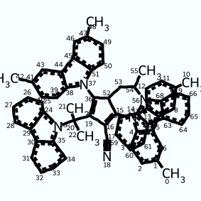 Cc1ccc2c(c1)c1cc(C)ccc1n2C1=C(C#N)C(C(C)(C)n2c3ccccc3c3ccccc32)=C(n2c3ccc(C)cc3c3cc(C)ccc32)C1CC(C)n1c2ccccc2c2ccccc21